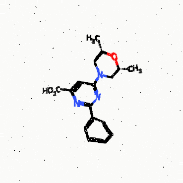 C[C@@H]1CN(c2cc(C(=O)O)nc(-c3ccccc3)n2)C[C@H](C)O1